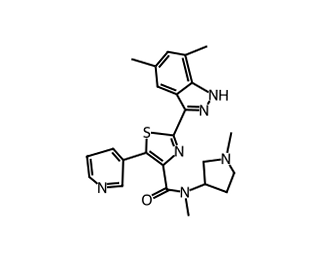 Cc1cc(C)c2[nH]nc(-c3nc(C(=O)N(C)C4CCN(C)C4)c(-c4cccnc4)s3)c2c1